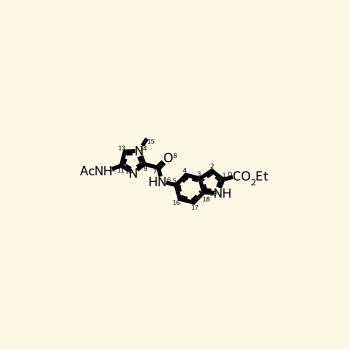 CCOC(=O)c1cc2cc(NC(=O)c3nc(NC(C)=O)cn3C)ccc2[nH]1